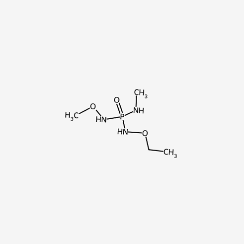 CCONP(=O)(NC)NOC